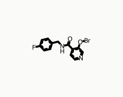 O=C(NCc1ccc(F)cc1)c1ccncc1OBr